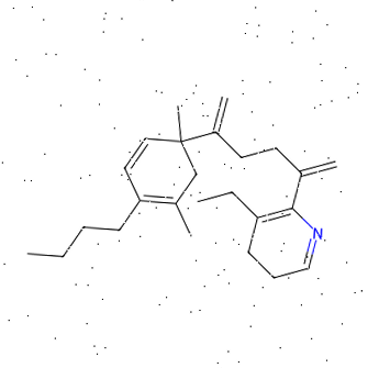 C=C(CCC(=C)C1(C)C=CC(CCCC)=C(C)C1)C1=C(CC)CCC=N1